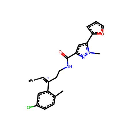 CCC/C=C(/CCNC(=O)c1cc(-c2ccco2)n(C)n1)c1cc(Cl)ccc1C